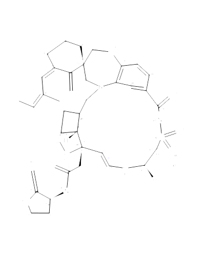 C=C1/C(=C\C(Cl)=C/C)CCC[C@]12COc1ccc3cc1N(C[C@@H]1CC[C@H]1[C@@](CC(=O)N[C@H]1CCOC1=O)(OC)/C=C/C[C@H](C)[C@@H](C)S(=O)(=O)NC3=O)C2